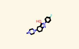 CN1CCN(C2CCc3nn(-c4ccc(F)cc4)c(O)c3C2)CC1